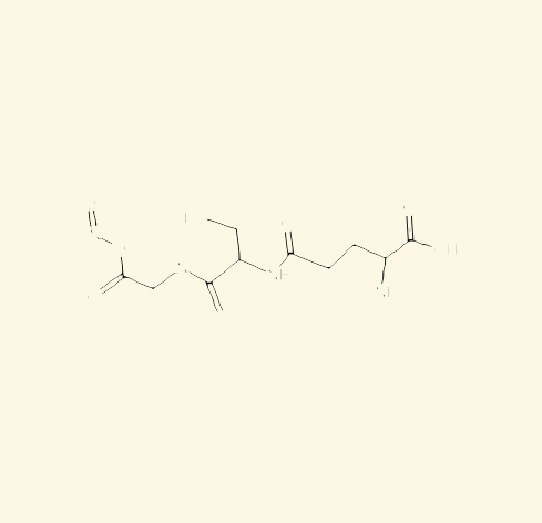 NC(CCC(=O)NC(CS)C(=O)NCC(=O)ON=O)C(=O)O